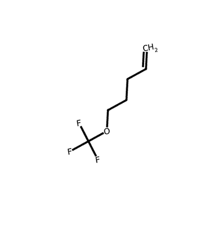 C=CCCCOC(F)(F)F